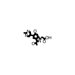 COc1cc2c(cc1-c1cnc(C)nc1)c(C(C)=O)nn2CC(=O)O